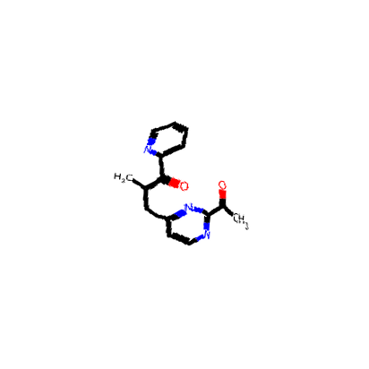 CC(=O)c1nccc(CC(C)C(=O)c2ccccn2)n1